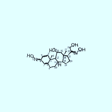 C[C@]12C=C/C(=N\O)C=C1CC[C@@H]1C2[C@@H](O)C[C@@]2(C)C1CC[C@@H]2/C(CO)=N/O